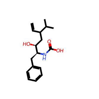 C=CC(C[C@H](O)[C@H](Cc1ccccc1)NC(=O)O)C(C)C